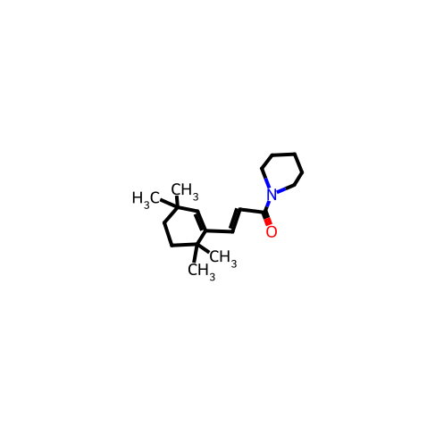 CC1(C)C=C(/C=C/C(=O)N2CCCCC2)C(C)(C)CC1